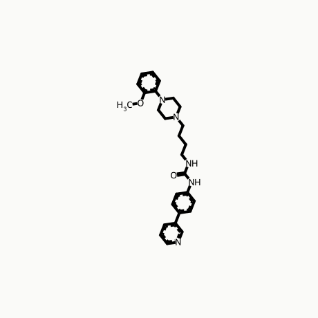 COc1ccccc1N1CCN(CCCCNC(=O)Nc2ccc(-c3cccnc3)cc2)CC1